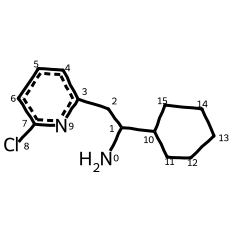 NC(Cc1cccc(Cl)n1)C1CCCCC1